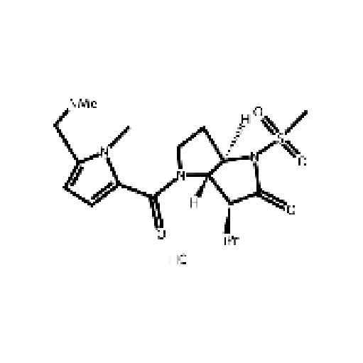 CNCc1ccc(C(=O)N2CC[C@@H]3[C@@H]2[C@H](C(C)C)C(=O)N3S(C)(=O)=O)n1C.Cl